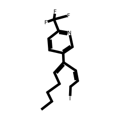 CCCC/C=C(\C=C/CI)c1ccc(C(F)(F)F)nc1